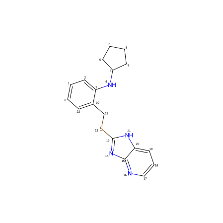 c1ccc(NC2CCCC2)c(CSc2nc3ncccc3[nH]2)c1